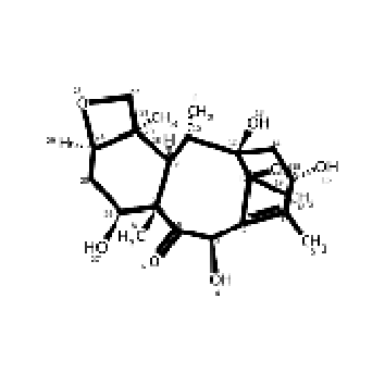 CC1=C2[C@@H](O)C(=O)[C@@]3(C)[C@H]([C@H](C)[C@](O)(C[C@@H]1O)C2(C)C)[C@]1(C)CO[C@@H]1C[C@@H]3O